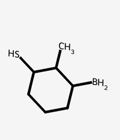 BC1CCCC(S)C1C